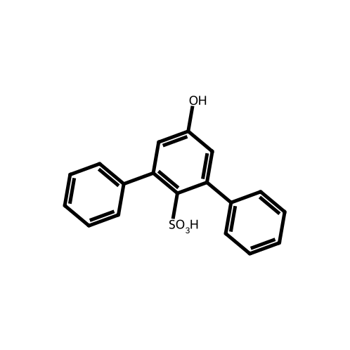 O=S(=O)(O)c1c(-c2ccccc2)cc(O)cc1-c1ccccc1